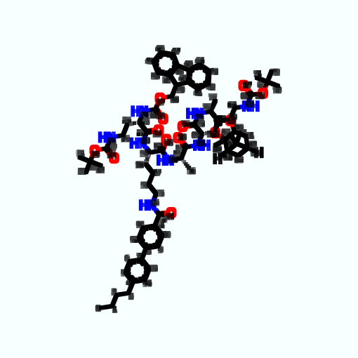 CCCCc1ccc(-c2ccc(C(=O)NCCCC[C@H](NC(=O)[C@H](CCNC(=O)OC(C)(C)C)NC(=O)OCC3c4ccccc4-c4ccccc43)C(=O)N[C@@H](C)C(=O)N[C@@H](CCCCNC(=O)OC(C)(C)C)C(=O)N[C@@H](C)B3OC4C[C@@H]5C[C@@H](C5(C)C)[C@]4(C)O3)cc2)cc1